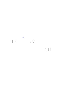 CCCCCC/C=C\CCCCCCCCOC(=O)CCCCCCCCCCCCCCC